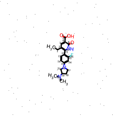 CCc1cc(C(=O)O)c(=O)[nH]c1-c1ccc(N2CCC(N(C)C)C2)cc1F